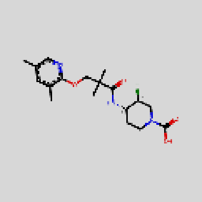 Cc1cnc(OCC(C)(C)C(=O)N[C@H]2CCN(C(=O)O)C[C@@H]2F)c(C)c1